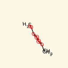 C=CC(=O)OCCCCCCCCOc1ccc(C(=O)Oc2ccc(OC(=O)c3ccc(OCCCCCCCC(C)C)cc3)cc2)cc1